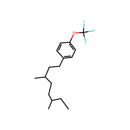 CCC(C)CCC(C)CCc1ccc(OC(F)(F)F)cc1